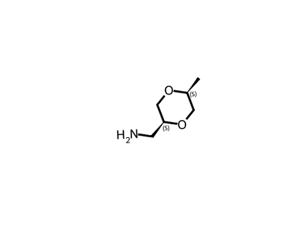 C[C@H]1CO[C@@H](CN)CO1